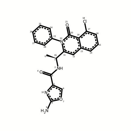 C[C@H](NC(=O)c1coc(N)n1)c1cc2cccc(Cl)c2c(=O)n1-c1ccccc1